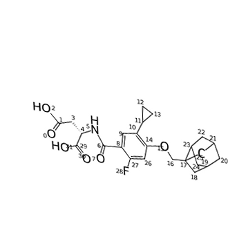 O=C(O)C[C@H](NC(=O)c1cc(C2CC2)c(OCC23CC4CC(CC2C4)C3)cc1F)C(=O)O